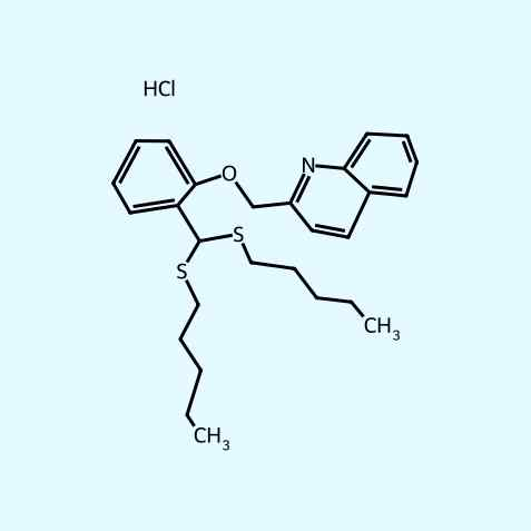 CCCCCSC(SCCCCC)c1ccccc1OCc1ccc2ccccc2n1.Cl